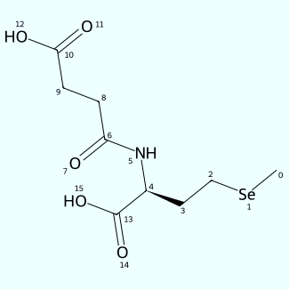 C[Se]CC[C@H](NC(=O)CCC(=O)O)C(=O)O